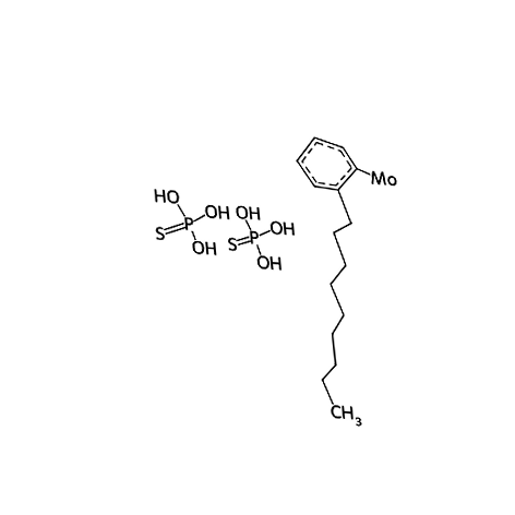 CCCCCCCCCc1cccc[c]1[Mo].OP(O)(O)=S.OP(O)(O)=S